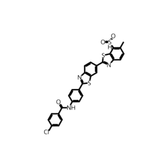 Cc1ccc2nc(-c3ccc4nc(-c5ccc(NC(=O)c6ccc(Cl)cc6)cc5)sc4c3)sc2c1[SH](=O)=O